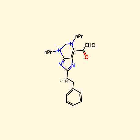 CCCN1CN(CCC)C(C(=O)C=O)=C2N=C([C@@H](C)Cc3ccccc3)N=C21